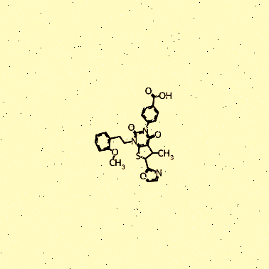 COc1ccccc1CCn1c2c(c(=O)n(-c3ccc(C(=O)O)cc3)c1=O)C(C)C(c1ncco1)S2